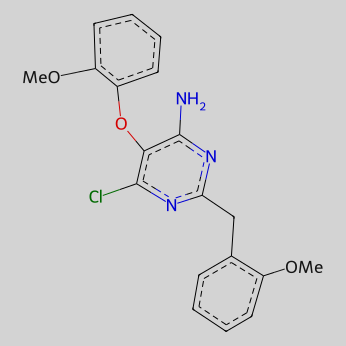 COc1ccccc1Cc1nc(N)c(Oc2ccccc2OC)c(Cl)n1